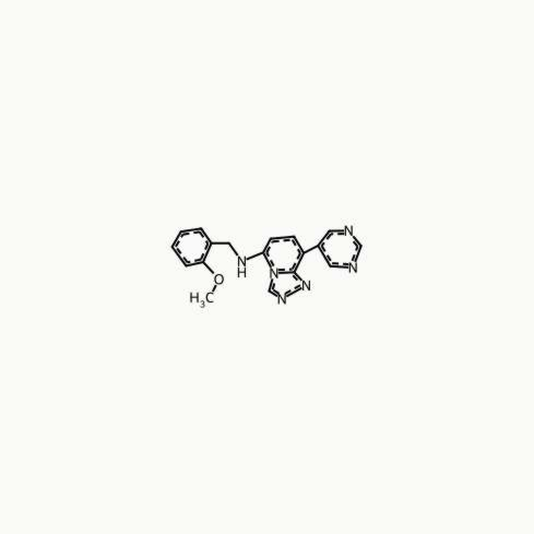 COc1ccccc1CNc1ccc(-c2cncnc2)c2nncn12